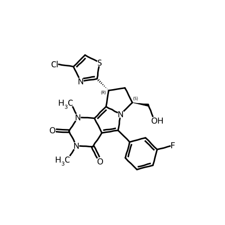 Cn1c(=O)c2c(-c3cccc(F)c3)n3c(c2n(C)c1=O)[C@H](c1nc(Cl)cs1)C[C@H]3CO